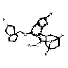 CC(C)(C)OC(=O)N1C[C@H]2CC[C@@H]1CN(c1nc(OC[C@@]34CCCN3C[C@H](F)C4)nc3sc(Br)nc13)C2